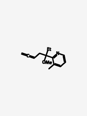 C=C=CCC(CC)(OC)c1ncccc1C